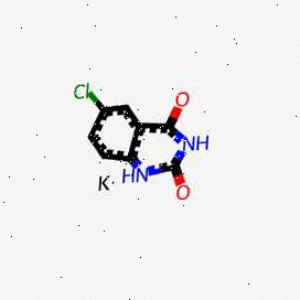 O=c1[nH]c(=O)c2cc(Cl)ccc2[nH]1.[K]